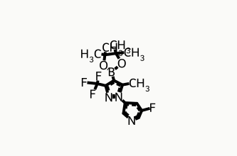 Cc1c(B2OC(C)(C)C(C)(C)O2)c(C(F)(F)F)nn1-c1cncc(F)c1